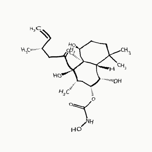 C=C[C@@H](C)CC(=O)[C@@]1(O)[C@@H](C)[C@@H](OC(=O)NO)[C@@H](O)[C@H]2C(C)(C)CC[C@H](O)[C@@]21C